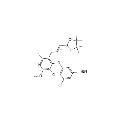 COc1nc(C)c(C/C=C/B2OC(C)(C)C(C)(C)O2)c(Oc2cc(Cl)cc(C#N)c2)c1Cl